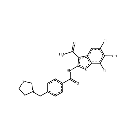 NC(=O)c1c(NC(=O)c2ccc(CN3CCSC3)cc2)sc2c(Cl)c(O)c(Cl)cc12